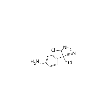 N#CC(CCl)(c1ccc(CN)cc1)C(N)Cl